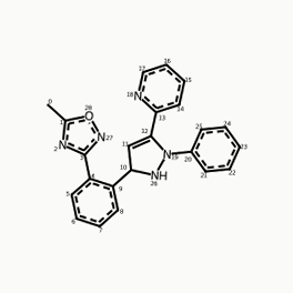 Cc1nc(-c2ccccc2C2C=C(c3ccccn3)N(c3ccccc3)N2)no1